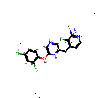 Nc1nccc(Cc2cncc(Oc3ccc(Cl)cc3F)n2)c1F